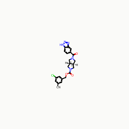 N#Cc1cc(Cl)cc(COC(=O)N2C[C@@H]3CN(C(=O)c4ccc5[nH]nnc5c4)C[C@H]3C2)c1